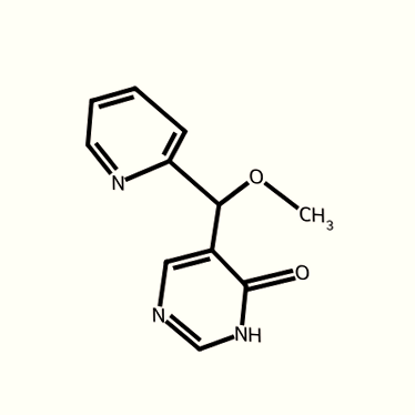 COC(c1ccccn1)c1cnc[nH]c1=O